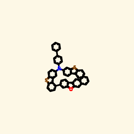 c1ccc(-c2ccc(N(c3ccc4c(c3)sc3ccccc34)c3ccc4sc5cccc(-c6ccc7c(c6)oc6cc8ccccc8cc67)c5c4c3)cc2)cc1